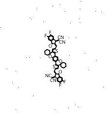 N#CC(C#N)=C1/C(=C/c2cc3c(s2)-c2cc4c(cc2OC32CCCCC2)-c2sc(/C=C3\C(=O)c5cc(F)c(F)cc5C3=C(C#N)C#N)cc2C2(CCCCC2)O4)C(=O)c2cc(F)c(F)cc21